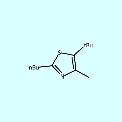 CCCCc1nc(C)c(C(C)(C)C)s1